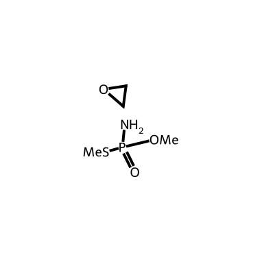 C1CO1.COP(N)(=O)SC